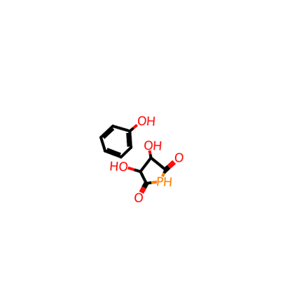 O=C1PC(=O)C(O)C1O.Oc1ccccc1